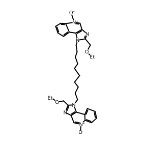 CCOCc1nc2c[n+]([O-])c3ccccc3c2n1CCCCCCCCCCn1c(COCC)nc2c[n+]([O-])c3ccccc3c21